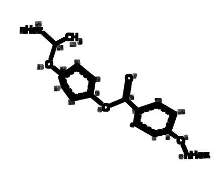 CCCCCCOc1ccc(C(=O)Oc2ccc(OC(C)CCCCCC)cc2)cc1